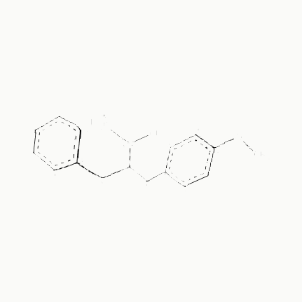 COc1ccc([CH]C(Cc2ccccc2)N(C)C)cc1